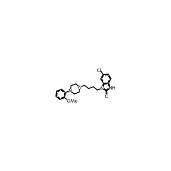 COc1ccccc1N1CCN(CCCCn2c(=O)[nH]c3ccc(Cl)cc32)CC1